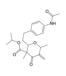 C=C1C(=O)C(C)(C(=O)OC(C)C)C(CCc2ccc(NC(C)=O)cc2)OC1C